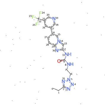 CCc1nnn(CCNC(=O)Nc2cn3cc(-c4cncc(C(F)(F)F)c4)ccc3n2)n1